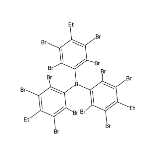 CCc1c(Br)c(Br)c(B(c2c(Br)c(Br)c(CC)c(Br)c2Br)c2c(Br)c(Br)c(CC)c(Br)c2Br)c(Br)c1Br